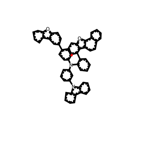 c1cc(N(c2ccc(-c3ccc4oc5ccccc5c4c3)cc2)c2ccccc2-c2cccc3oc4c5ccccc5ccc4c23)cc(-n2c3ccccc3c3ccccc32)c1